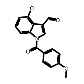 COc1ccc(C(=O)n2cc(C=O)c3c(Cl)cccc32)cc1